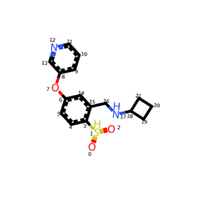 O=[SH](=O)c1ccc(Oc2cccnc2)cc1CNC1CCC1